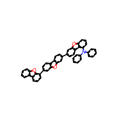 c1ccc(N(c2ccccc2)c2cccc3oc4cc(-c5ccc6c(c5)oc5cc(-c7cccc8c7oc7ccccc78)ccc56)ccc4c23)cc1